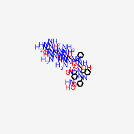 N=C(N)NC(NC(=O)C(NC(=N)N)NC(=O)C(NC(=N)N)NC(=O)C(NC(=N)N)NC(=O)C(NC(=O)C(O)N(Cc1ccc(NOO)cc1[N+](=O)[O-])c1nc(-c2ccccc2)nc2ccccc12)c1ccccc1)C(N)=O